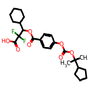 CC(C)(OC(=O)Oc1ccc(C(=O)OC(C2CCCCC2)C(F)(F)C(=O)O)cc1)C1CCCC1